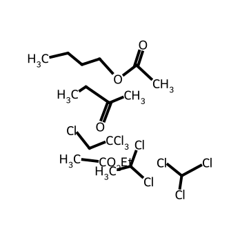 CC(Cl)Cl.CCC(C)=O.CCCCOC(C)=O.CCOC(C)=O.ClC(Cl)Cl.ClCC(Cl)(Cl)Cl